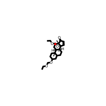 CCOCOC1CC[C@@]2(C)C(CC[C@@H]3[C@H]2CC[C@]2(C)C(=O)C=C[C@@]32OCOCC)C1